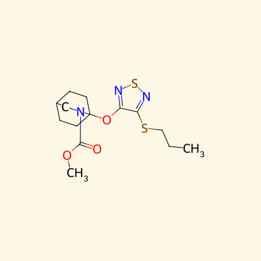 CCCSc1nsnc1OC12CCC(CC1)CN2C(=O)OC